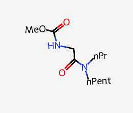 CCCCCN(CCC)C(=O)CNC(=O)OC